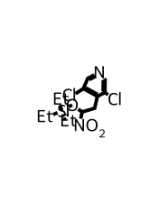 CC[Si](CC)(CC)OC(Cc1c(Cl)cncc1Cl)[N+](=O)[O-]